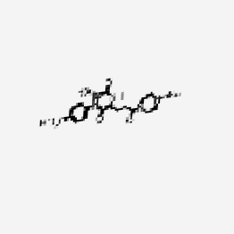 CCCCN1CCN(C(=O)CCC(NC(=O)OC(C)(C)C)C(=O)Nc2ccc(C(=O)O)cc2)CC1